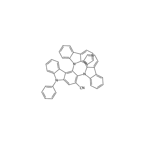 N#Cc1cc2c(c(-n3c4ccccc4c4ccccc43)c1-n1c3ccccc3c3ccccc31)c1ccccc1n2-c1ccccc1